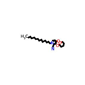 CCCCCCCCCCCCCCn1ccc(=O)c(OC2CCCCO2)c1C#N